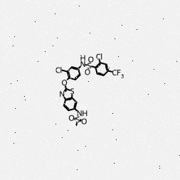 CS(=O)(=O)Nc1ccc2nc(Oc3ccc(NS(=O)(=O)c4ccc(C(F)(F)F)cc4Cl)cc3Cl)sc2c1